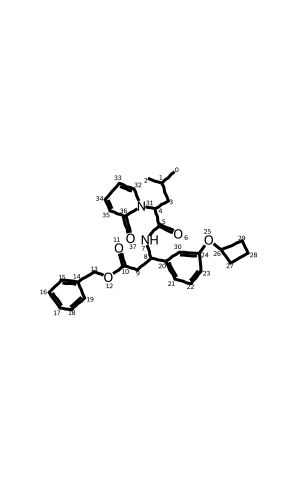 CC(C)CC(C(=O)NC(CC(=O)OCc1ccccc1)c1cccc(OC2CCC2)c1)n1ccccc1=O